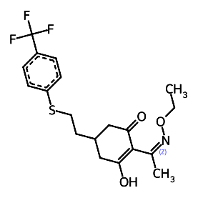 CCO/N=C(/C)C1=C(O)CC(CCSc2ccc(C(F)(F)F)cc2)CC1=O